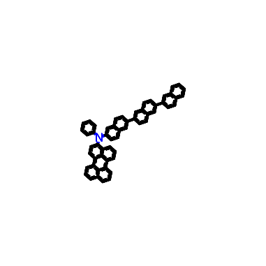 c1ccc(N(c2ccc3cc(-c4ccc5cc(-c6ccc7ccccc7c6)ccc5c4)ccc3c2)c2ccc3c4cccc5cccc(c6cccc2c63)c54)cc1